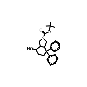 CC(C)(C)OC(=O)N1CC2C(O)CCC(c3ccccc3)(c3ccccc3)C2C1